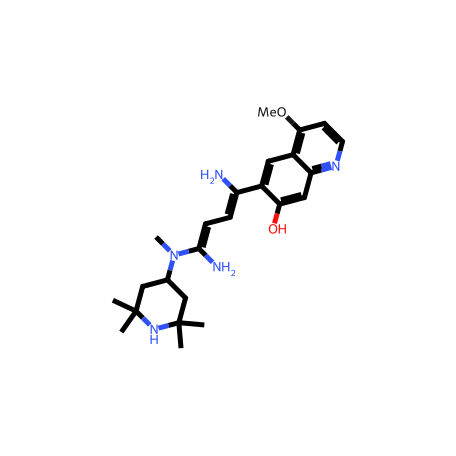 COc1ccnc2cc(O)c(/C(N)=C/C=C(\N)N(C)C3CC(C)(C)NC(C)(C)C3)cc12